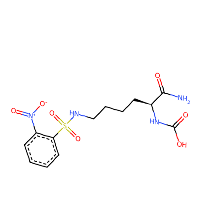 NC(=O)[C@H](CCCCNS(=O)(=O)c1ccccc1[N+](=O)[O-])NC(=O)O